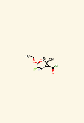 CCOC(=O)/C(F)=C\C1C(C(=O)Cl)C1(C)C